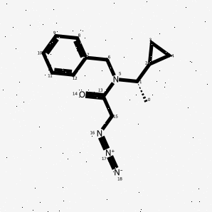 C[C@@H](C1CC1)N(Cc1ccccc1)C(=O)CN=[N+]=[N-]